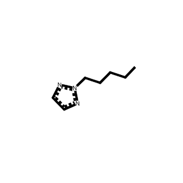 CCCCCn1nccn1